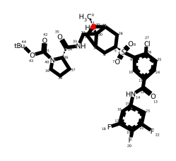 C[C@H]1CC2C[C@@H](S(=O)(=O)c3cc(C(=O)Nc4cc(F)c(F)c(F)c4)ccc3Cl)CC1[C@@]2(O)CNC(=O)[C@@H]1CCCN1C(=O)OC(C)(C)C